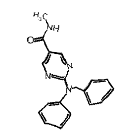 CNC(=O)c1cnc(N(c2ccccc2)c2ccccc2)nc1